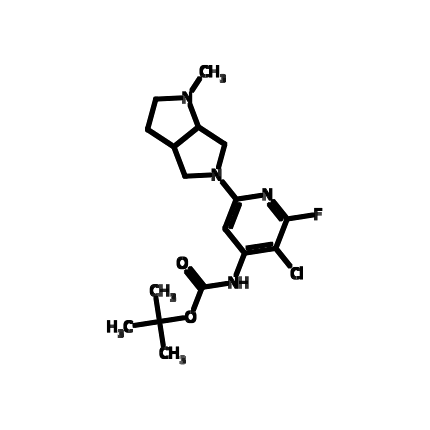 CN1CCC2CN(c3cc(NC(=O)OC(C)(C)C)c(Cl)c(F)n3)CC21